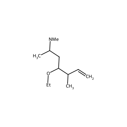 C=CC(C)C(CC(C)NC)OCC